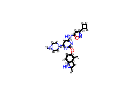 Cc1cc2c(C)c(Oc3nc(Nc4cc(C5CCC5)no4)cc(N4CCN(C)CC4)n3)ccc2[nH]1